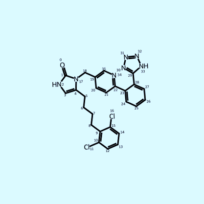 O=c1[nH]cc(CCCCc2c(Cl)cccc2Cl)n1Cc1ccc(-c2ccccc2-c2nnn[nH]2)nc1